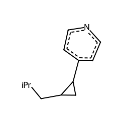 CC(C)CC1CC1c1ccncc1